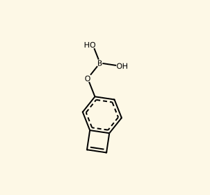 OB(O)Oc1ccc2c(c1)C=C2